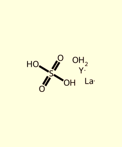 O.O=S(=O)(O)O.[La].[Y]